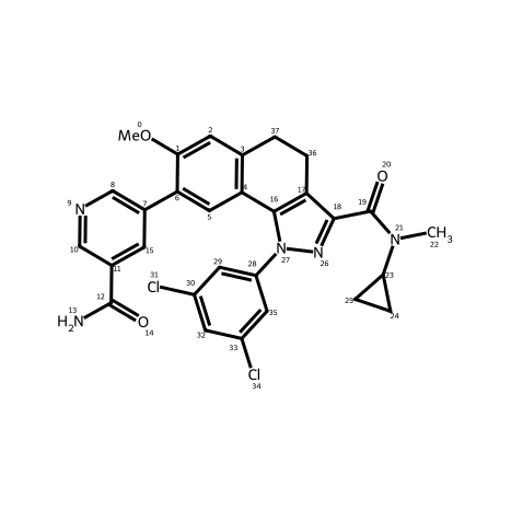 COc1cc2c(cc1-c1cncc(C(N)=O)c1)-c1c(c(C(=O)N(C)C3CC3)nn1-c1cc(Cl)cc(Cl)c1)CC2